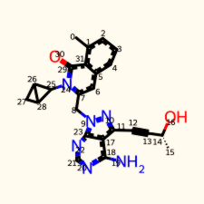 Cc1cccc2cc(Cn3nc(C#C[C@@H](C)O)c4c(N)ncnc43)n(C3C4CC43)c(=O)c12